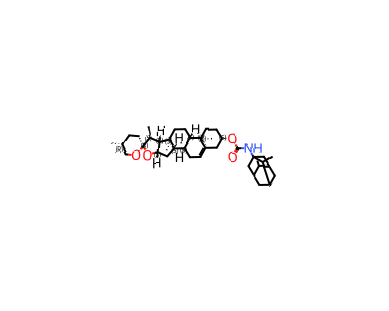 CC1C2CC3CC1CC(NC(=O)O[C@H]1CC[C@@]4(C)C(=CC[C@H]5[C@@H]6C[C@@H]7O[C@]8(CC[C@@H](C)CO8)[C@@H](C)[C@@H]7[C@@]6(C)CC[C@@H]54)C1)(C2)C3C